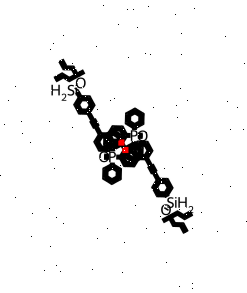 C=CCC(C)(CC=C)O[SiH2]c1ccc(C#Cc2cccc3c(-c4c(P(=O)(c5ccccc5)c5ccccc5)ccc5c(C#Cc6ccc([SiH2]OC(C)(CC=C)CC=C)cc6)cccc45)c(P(=O)(c4ccccc4)c4ccccc4)ccc23)cc1